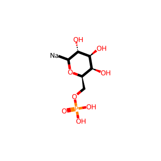 O=P(O)(O)OC[C@H]1O[CH]([Na])[C@H](O)[C@@H](O)[C@H]1O